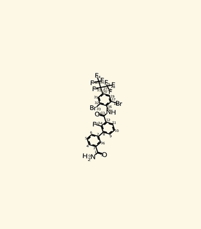 NC(=O)c1cccc(-c2cccc(C(=O)Nc3c(Br)cc(C(F)(C(F)(F)F)C(F)(F)F)cc3Br)c2F)c1